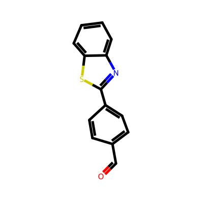 O=Cc1ccc(-c2nc3ccccc3s2)cc1